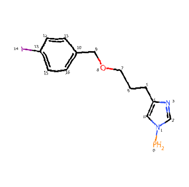 Pn1cnc(CCCOCc2ccc(I)cc2)c1